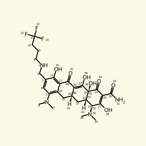 CN(C)c1cc(CNCCCC(F)(F)F)c(O)c2c1C[C@H]1C[C@H]3[C@H](N(C)C)C(O)=C(C(N)=O)C(=O)[C@@]3(O)C(O)=C1C2=O